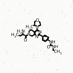 CCNC(=O)Nc1ccc(-c2nc3c(c(N4CCOCC4C)n2)CCN(C(=O)C(N)CC)C3)cc1